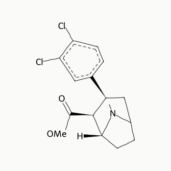 COC(=O)[C@H]1[C@@H](c2ccc(Cl)c(Cl)c2)CC2CC[C@H]1N2C